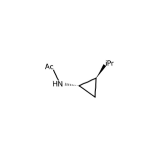 CC(=O)N[C@H]1C[C@@H]1C(C)C